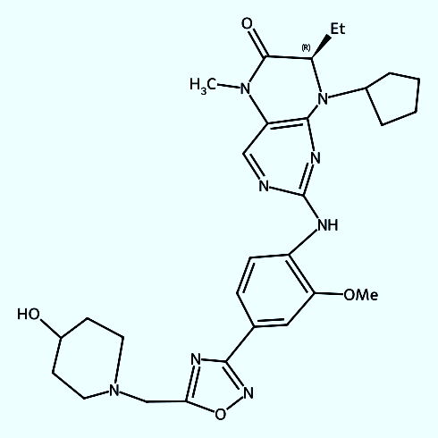 CC[C@@H]1C(=O)N(C)c2cnc(Nc3ccc(-c4noc(CN5CCC(O)CC5)n4)cc3OC)nc2N1C1CCCC1